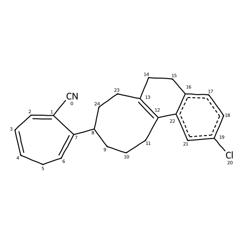 N#CC1=CC=CCC=C1C1CCCC2=C(CCc3ccc(Cl)cc32)CC1